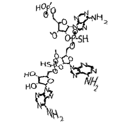 CO[C@H]1[C@@H](OP(=O)(S)OC[C@H]2O[C@@H](n3cnc4c(N)ncnc43)[C@H](OP(=O)(S)OC[C@H]3O[C@@H](n4cnc5c(N)ncnc54)[C@H](O)[C@@H]3O)[C@@H]2OC)[C@H](n2cnc3c(N)ncnc32)O[C@@H]1COP(C)(=O)O